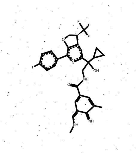 CN/C=C1/C=C(C(=O)NCC(O)(c2cc3c(c(-c4ccc(F)cc4)n2)OC[C@H]3C(F)(F)F)C2CC2)C=C(C)C1=N